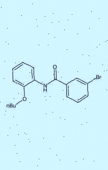 CCCCOc1ccccc1NC(=O)c1cccc(Br)c1